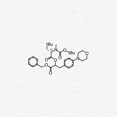 CN(C(=O)OC(C)(C)C)[C@@H](CC(C)(C)C)C(=O)OC(Cc1ccc(N2CCOCC2)cc1)C(=O)OCc1ccccc1